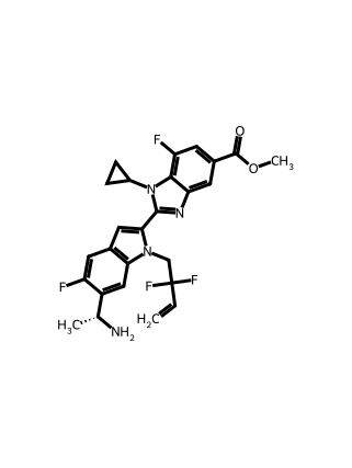 C=CC(F)(F)Cn1c(-c2nc3cc(C(=O)OC)cc(F)c3n2C2CC2)cc2cc(F)c([C@@H](C)N)cc21